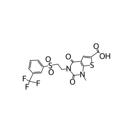 Cn1c(=O)n(CCS(=O)(=O)c2cccc(C(F)(F)F)c2)c(=O)c2cc(C(=O)O)sc21